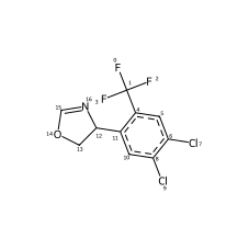 FC(F)(F)c1cc(Cl)c(Cl)cc1C1COC=N1